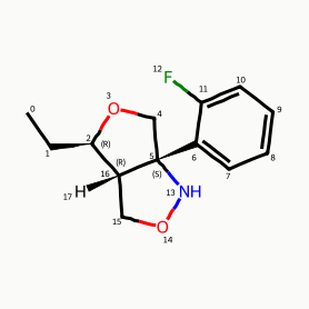 CC[C@H]1OC[C@]2(c3ccccc3F)NOC[C@H]12